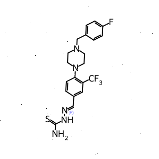 NC(=S)N/N=C/c1ccc(N2CCN(Cc3ccc(F)cc3)CC2)c(C(F)(F)F)c1